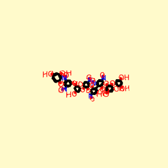 O=Nc1cc(Oc2cc(O)cc(Oc3c(O)cc(N=O)c4c3Oc3c(N=O)cc(O)c(-c5c(N=O)cc(N=O)c6c5Oc5c(O)cc(O)c(Oc7cc(O)cc(O)c7)c5O6)c3O4)c2)cc(N=O)c1OC1C=CC(O)=CC(O)=C1